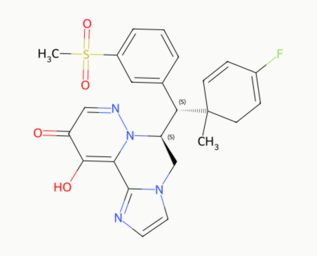 CC1([C@@H](c2cccc(S(C)(=O)=O)c2)[C@H]2Cn3ccnc3-c3c(O)c(=O)cnn32)C=CC(F)=CC1